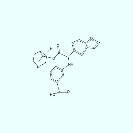 O=C(O)c1cccc(NC(C(=O)O[C@H]2CN3CCC2CC3)c2ccc3occc3c2)c1